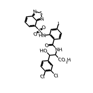 O=C(NC(C(=O)O)C(O)c1ccc(Cl)c(Cl)c1)c1ccc(I)cc1NS(=O)(=O)c1cccc2nsnc12